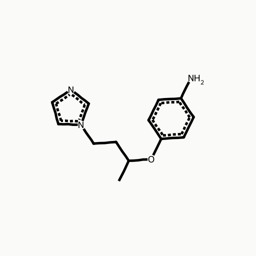 CC(CCn1ccnc1)Oc1ccc(N)cc1